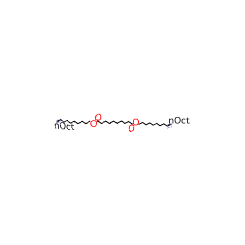 CCCCCCCC/C=C\CCCCCCCCOC(=O)CCCCCCCCC(=O)OCCCCCCCC/C=C\CCCCCCCC